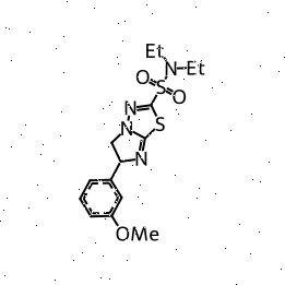 CCN(CC)S(=O)(=O)C1=NN2CC(c3cccc(OC)c3)N=C2S1